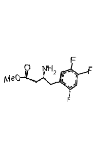 COC(=O)C[C@@H](N)Cc1cc(F)c(F)cc1F